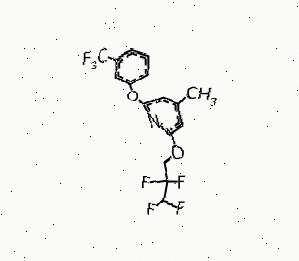 Cc1cc(OCC(F)(F)C(F)F)nc(Oc2cccc(C(F)(F)F)c2)c1